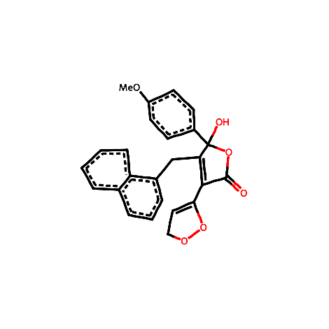 COc1ccc(C2(O)OC(=O)C(C3=CCOO3)=C2Cc2cccc3ccccc23)cc1